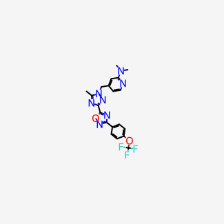 Cc1nc(-c2nc(-c3ccc(OC(F)(F)F)cc3)no2)nn1Cc1ccnc(N(C)C)c1